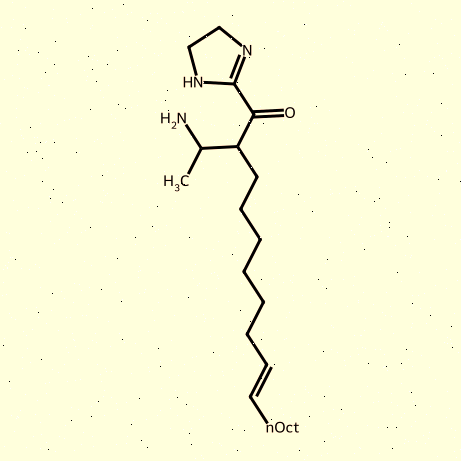 CCCCCCCCC=CCCCCCCC(C(=O)C1=NCCN1)C(C)N